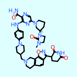 CN1CCN([C@@H]2CCCN(c3cnc(C(N)=O)c(Nc4ccc(N5CCC(CN6CCc7ccc8c(C9CCC(=O)NC9=O)noc8c7C6)CC5)cc4)n3)C2)C1=O